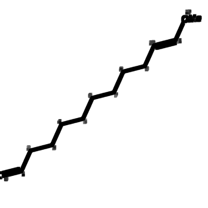 C=CCCCCCCCCC=COC